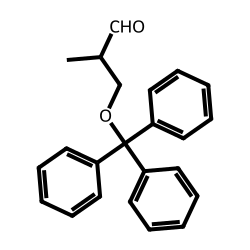 CC(C=O)COC(c1ccccc1)(c1ccccc1)c1ccccc1